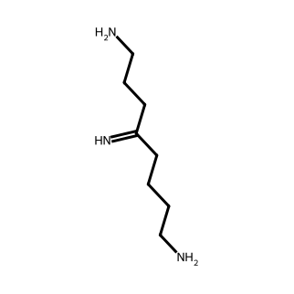 N=C(CCCN)CCCCN